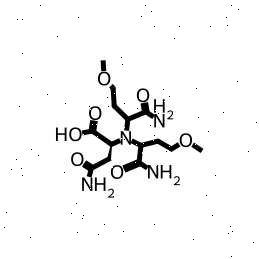 COCCC(C(N)=O)N(C(CCOC)C(N)=O)[C@@H](CC(N)=O)C(=O)O